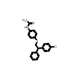 CC(=O)Nc1ccc(SCC(c2ccccc2)c2ccc(Cl)cc2)cc1